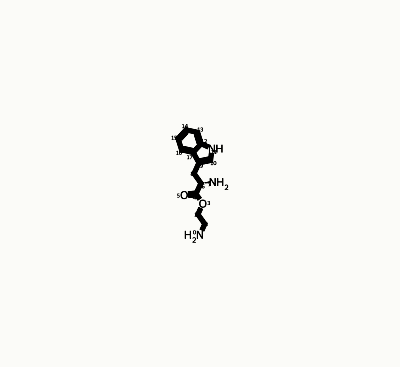 NCCOC(=O)[C@@H](N)Cc1c[nH]c2ccccc12